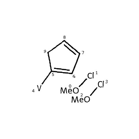 COCl.COCl.[V][C]1=CC=CC1